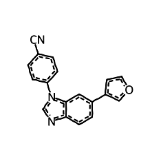 N#Cc1ccc(-n2cnc3ccc(-c4ccoc4)cc32)cc1